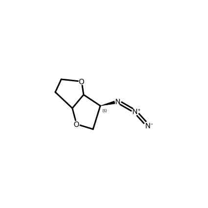 [N-]=[N+]=N[C@H]1COC2CCOC21